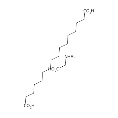 CC(=O)NCC(=O)O.O=C(O)CCCCCCCCCCCCCCC(=O)O